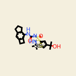 CC(C)(O)c1csc(S(=O)(=NC(=O)Nc2c3c(cc4c2CC4)CCC3)N[Si](C)(C)C(C)(C)C)c1